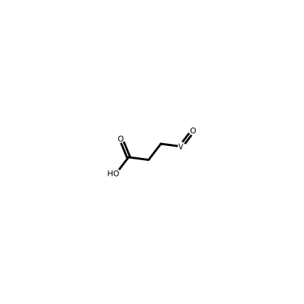 [O]=[V][CH2]CC(=O)O